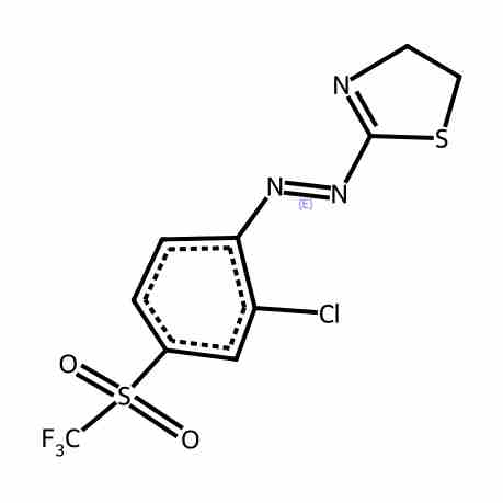 O=S(=O)(c1ccc(/N=N/C2=NCCS2)c(Cl)c1)C(F)(F)F